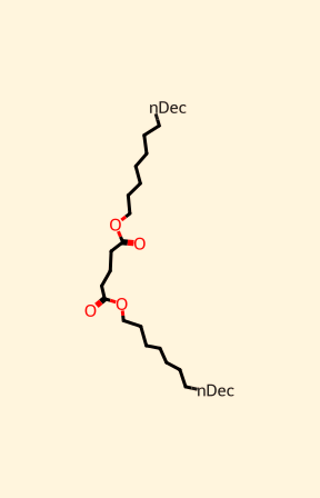 CCCCCCCCCCCCCCCCCOC(=O)CCCC(=O)OCCCCCCCCCCCCCCCCC